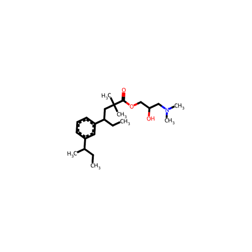 CCC(C)c1cccc(C(CC)CC(C)(C)C(=O)OCC(O)CN(C)C)c1